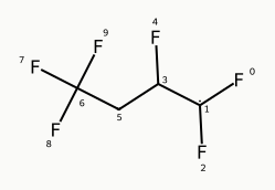 F[C](F)C(F)CC(F)(F)F